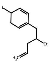 C=CCC(CC)CC1=CCC(I)C=C1